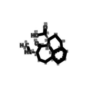 CN[C@H]1CCc2cccc3c2N(C1=O)[C@H](C(=O)O)CC3